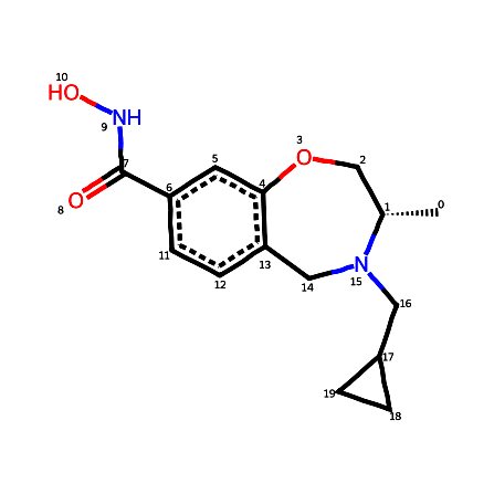 C[C@H]1COc2cc(C(=O)NO)ccc2CN1CC1CC1